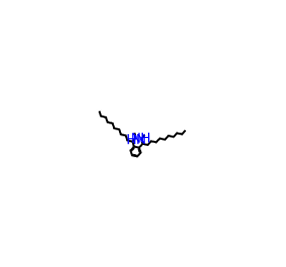 CCCCCCCCCCC(NC)c1ccccc1C(CCCCCCCCCC)NC